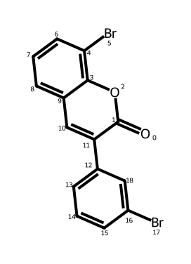 O=c1oc2c(Br)cccc2cc1-c1cccc(Br)c1